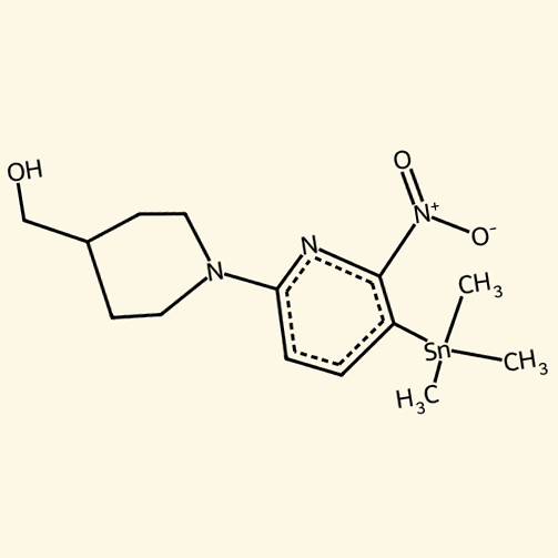 [CH3][Sn]([CH3])([CH3])[c]1ccc(N2CCC(CO)CC2)nc1[N+](=O)[O-]